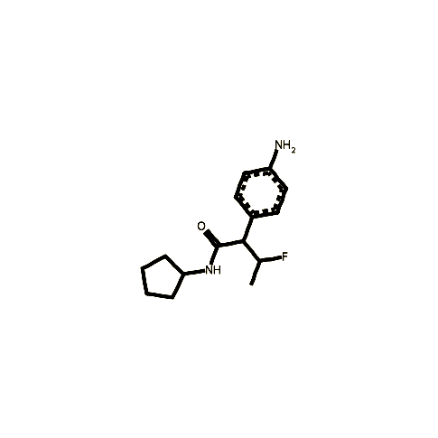 CC(F)C(C(=O)NC1CCCC1)c1ccc(N)cc1